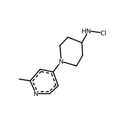 Cc1cc(N2CCC(NCl)CC2)ccn1